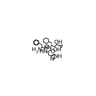 N[C@H](Cc1ccccc1)C(=O)NC(Cc1c[nH]cn1)C(=O)N[C@@H](CC1CCCCC1)[C@H](O)[C@@H](O)C1CC1